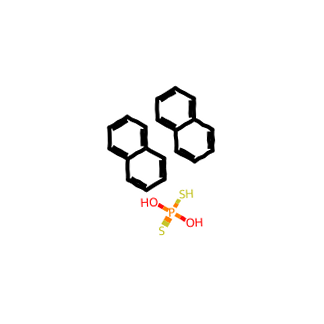 OP(O)(=S)S.c1ccc2ccccc2c1.c1ccc2ccccc2c1